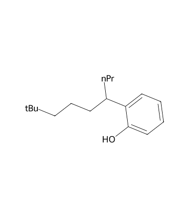 CCCC(CCCC(C)(C)C)c1ccccc1O